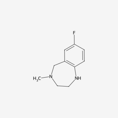 CN1CCNc2ccc(F)cc2C1